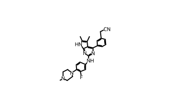 Cc1[nH]c2nc(Nc3ccc(N4CCN(C)CC4)c(F)c3)nc(-c3cccc(CC#N)c3)c2c1C